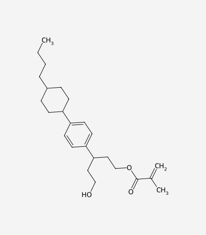 C=C(C)C(=O)OCCC(CCO)c1ccc(C2CCC(CCCC)CC2)cc1